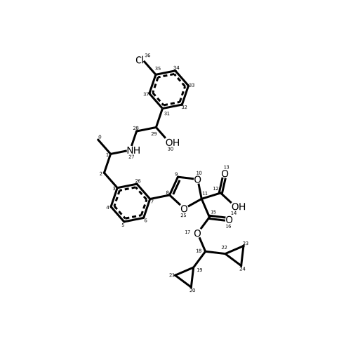 CC(Cc1cccc(C2=COC(C(=O)O)(C(=O)OC(C3CC3)C3CC3)O2)c1)NCC(O)c1cccc(Cl)c1